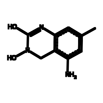 Cc1cc(N)c2c(c1)N=C(O)N(O)C2